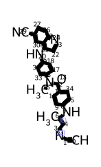 C#C/N=C\C=C(/C)Nc1ccc(C(=O)N(C)c2ccc(Nc3ccnc4ccc(C#N)cc34)cc2)cc1